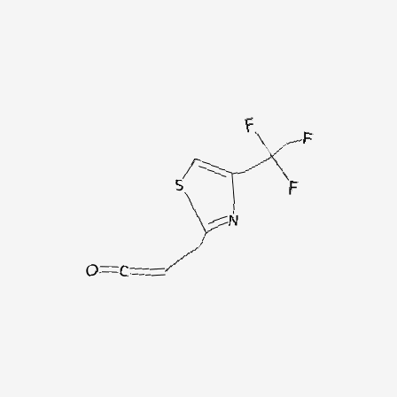 O=C=Cc1nc(C(F)(F)F)cs1